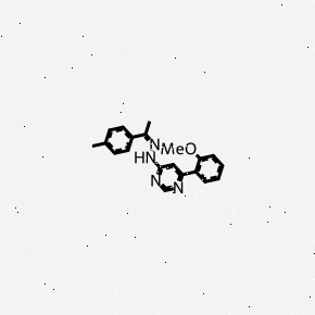 COc1ccccc1-c1cc(NN=C(C)c2ccc(C)cc2)ncn1